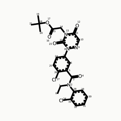 CCN(C(=O)c1cc(-n2ncc(=O)n(CC(=O)OC(C)(C)C)c2=O)ccc1Cl)c1ccccc1Cl